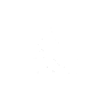 Cc1nn(-c2ccccc2)nc1C(=O)N1CCC(C)(C)C1